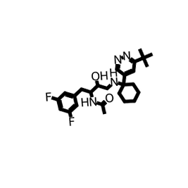 CC(=O)NC(Cc1cc(F)cc(F)c1)C(O)CNC1(c2cnnc(C(C)(C)C)c2)CCCCC1